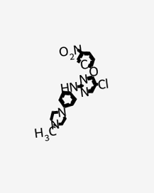 CN1CCN(c2ccc(Nc3ncc(Cl)c(Oc4ccc([N+](=O)[O-])cc4)n3)cc2)CC1